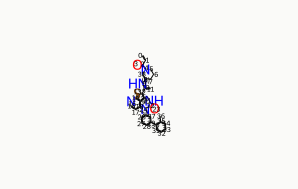 C=CC(=O)N1CCC[C@@H](NC(=C)c2sc3nccc4c3c2NC(=O)N4c2cccc(-c3ccccc3C)c2)C1